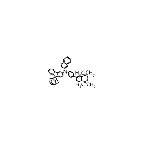 CC1(C)CCC(C)(C)c2cc(-c3ccc(N(c4ccc5c(c4)-c4ccccc4C54C5CC6CC7CC4C75C6)c4ccc5ccccc5c4)cc3)ccc21